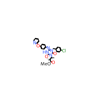 COC(=O)[C@H](C)[C@H](C)n1c(=O)[nH]/c(=N\c2ccc(Oc3ccccn3)cc2)n(Cc2ccc(Cl)cc2)c1=O